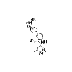 Cc1cc(-c2[nH]c3ccc(C4CCN(C(=O)CNC(C)(C)C)CC4)cc3c2C(C)C)cn2ncnc12